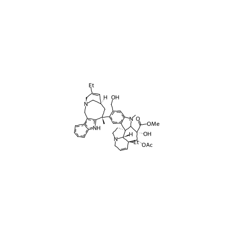 CCC1=C[C@@H]2C[N@](C1)Cc1c([nH]c3ccccc13)[C@@](C)(c1cc3c(cc1CO)N(C)C1[C@]34CCN3CC=C[C@@](CC)([C@@H](OC(C)=O)[C@]1(O)C(=O)OC)[C@H]34)C2